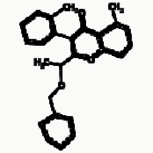 Cc1ccccc1-c1c(C(C)OCc2ccccc2)oc2cccc(C)c2c1=O